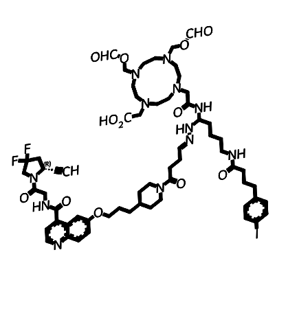 C#C[C@H]1CC(F)(F)CN1C(=O)CNC(=O)c1ccnc2ccc(OCCCC3CCN(C(=O)CCC=NNC(CCCCNC(=O)CCCc4ccc(I)cc4)NC(=O)CN4CCN(COC=O)CCN(COC=O)CCN(CC(=O)O)CC4)CC3)cc12